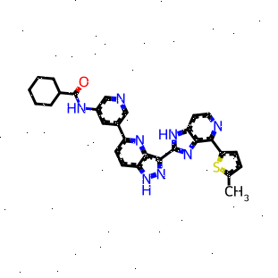 Cc1ccc(-c2nccc3[nH]c(-c4n[nH]c5ccc(-c6cncc(NC(=O)C7CCCCC7)c6)nc45)nc23)s1